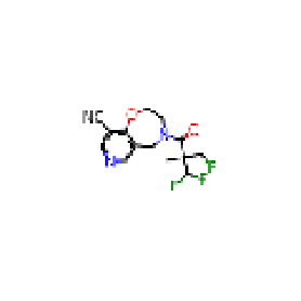 CC(CF)(C(=O)N1CCOc2c(C#N)cncc2C1)C(F)F